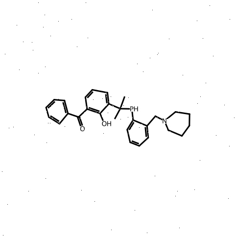 CC(C)(Pc1ccccc1CN1CCCCC1)c1cccc(C(=O)c2ccccc2)c1O